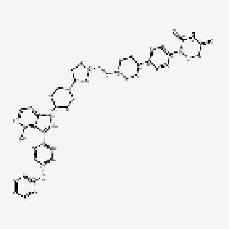 Nc1ncnc2c1c(-c1ccc(Oc3ccccc3)cc1)nn2C1CCN(C2CCN(CCN3CCN(c4ccc(N5CCC(=O)NC5=O)cc4)CC3)C2)CC1